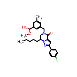 CCCCCC1CN(Cc2cc(C)cc(C(O)OC)c2)C(=O)c2cc(-c3ccc(Cl)cc3)nn21